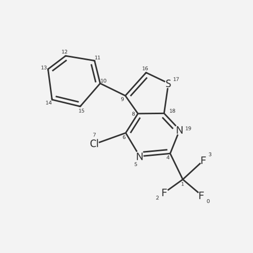 FC(F)(F)c1nc(Cl)c2c(-c3ccccc3)csc2n1